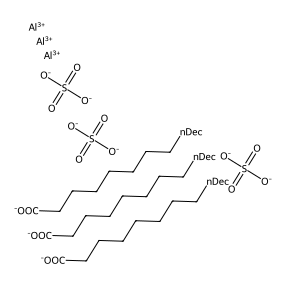 CCCCCCCCCCCCCCCCCC(=O)[O-].CCCCCCCCCCCCCCCCCC(=O)[O-].CCCCCCCCCCCCCCCCCC(=O)[O-].O=S(=O)([O-])[O-].O=S(=O)([O-])[O-].O=S(=O)([O-])[O-].[Al+3].[Al+3].[Al+3]